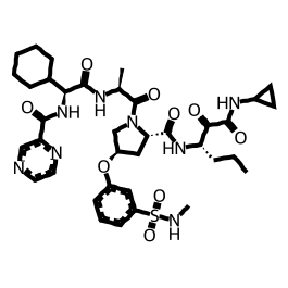 CCC[C@H](NC(=O)[C@@H]1C[C@@H](Oc2cccc(S(=O)(=O)NC)c2)CN1C(=O)[C@H](C)NC(=O)[C@@H](NC(=O)c1cnccn1)C1CCCCC1)C(=O)C(=O)NC1CC1